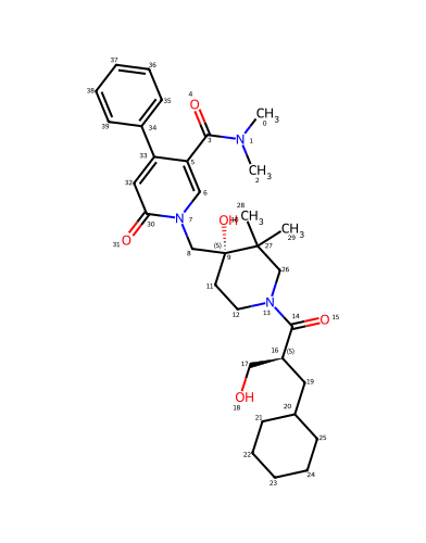 CN(C)C(=O)c1cn(C[C@]2(O)CCN(C(=O)[C@H](CO)CC3CCCCC3)CC2(C)C)c(=O)cc1-c1ccccc1